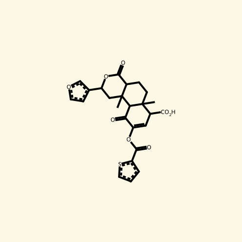 CC12CCC3C(=O)OC(c4ccoc4)CC3(C)C1C(=O)C(OC(=O)c1cccs1)=CC2C(=O)O